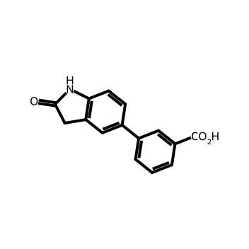 O=C1Cc2cc(-c3cccc(C(=O)O)c3)ccc2N1